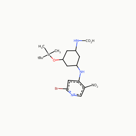 CC(C)(C)[Si](C)(C)OC1CC(NC(=O)O)CC(Nc2cc(Br)ncc2[N+](=O)[O-])C1